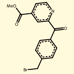 COC(=O)c1ccnc(C(=O)c2ccc(CBr)cc2)c1